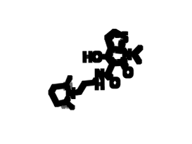 CC(C)n1c(=O)c(C(=O)NCCCN2[C@H](C)CCC[C@@H]2C)c(O)c2ccsc21